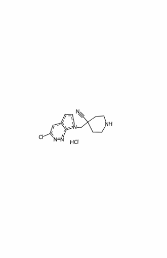 Cl.N#CC1(Cn2ccc3cc(Cl)nnc32)CCNCC1